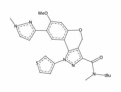 COc1cc2c(cc1-c1ccn(C)n1)-c1c(c(C(=O)N(C)C(C)(C)C)nn1-c1ccsc1)CO2